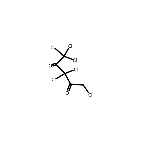 O=C(CCl)C(Cl)(Cl)C(=O)C(Cl)(Cl)Cl